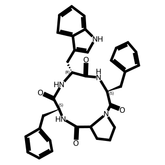 O=C1N[C@@H](Cc2ccccc2)C(=O)N[C@H](Cc2c[nH]c3ccccc23)C(=O)N[C@@H](Cc2ccccc2)C(=O)N2CCCC12